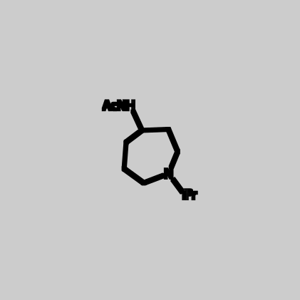 CC(=O)NC1CCCN(C(C)C)CC1